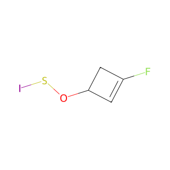 FC1=CC(OSI)C1